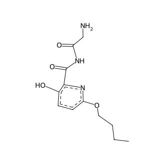 CCCCOc1ccc(O)c(C(=O)NC(=O)CN)n1